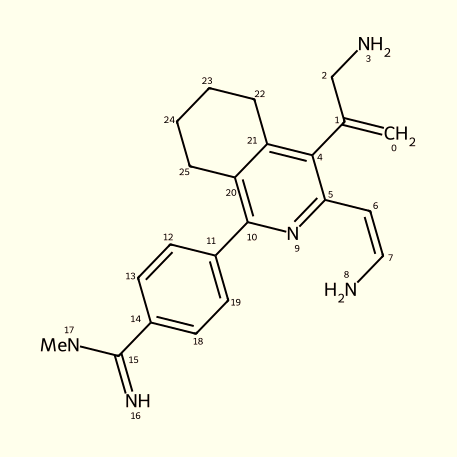 C=C(CN)c1c(/C=C\N)nc(-c2ccc(C(=N)NC)cc2)c2c1CCCC2